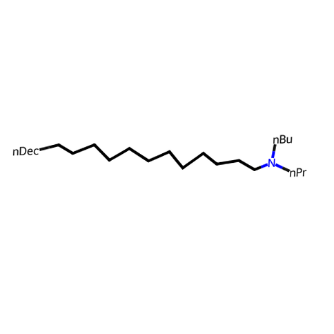 CCCCCCCCCCCCCCCCCCCCCCN(CCC)CCCC